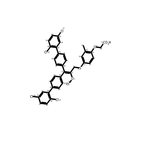 CCOC(CSc1ccc(OCC(=O)O)c(C)c1)=C(c1ccc(-c2cc(Cl)ccc2Cl)cc1)c1ccc(-c2cc(Cl)ccc2Cl)cc1